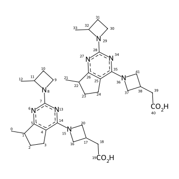 CC1CCc2c1nc(N1CCC1C)nc2N1CC(CC(=O)O)C1.CC1CCc2c1nc(N1CCC1C)nc2N1CC(CC(=O)O)C1